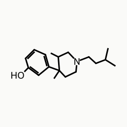 CC(C)CCN1CCC(C)(c2cccc(O)c2)C(C)C1